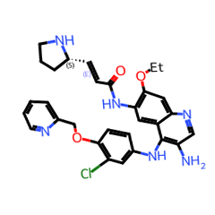 CCOc1cc2ncc(N)c(Nc3ccc(OCc4ccccn4)c(Cl)c3)c2cc1NC(=O)/C=C/[C@@H]1CCCN1